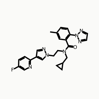 Cc1ccc(-n2nccn2)c(C(=O)N(CCn2cc(-c3ccc(F)cn3)cn2)CC2CC2)c1